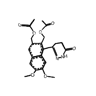 COc1cc2cc(COC(C)=O)c(COC(C)=O)c(C3=NNC(=O)CC3)c2cc1OC